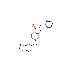 CC(c1ccc2scnc2c1)N1CCC2=C(CN(Cc3ccccn3)C2=O)C1